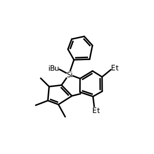 CCc1cc(CC)cc([Si](C2=C(C)C(C)=C(C)C2C)(c2ccccc2)C(C)CC)c1